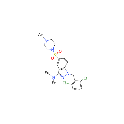 CCN(CC)c1nn(Cc2c(Cl)cccc2Cl)c2ccc(S(=O)(=O)N3CCN(C(C)=O)CC3)cc12